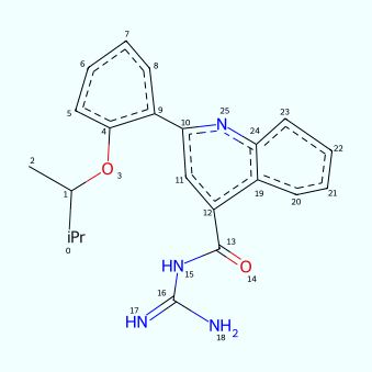 CC(C)C(C)Oc1ccccc1-c1cc(C(=O)NC(=N)N)c2ccccc2n1